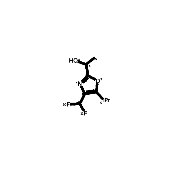 CC(C)c1oc(C(C)O)nc1C(F)F